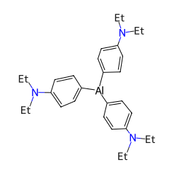 CCN(CC)c1cc[c]([Al]([c]2ccc(N(CC)CC)cc2)[c]2ccc(N(CC)CC)cc2)cc1